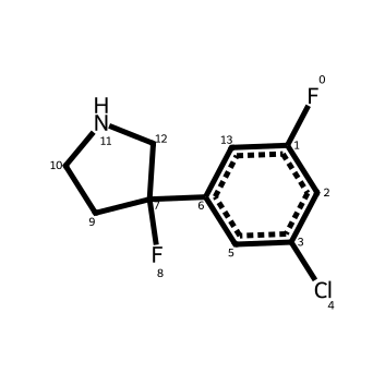 Fc1cc(Cl)cc(C2(F)CCNC2)c1